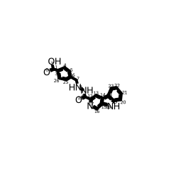 O=C(O)c1ccc(CNNC(=O)c2cc3c(cn2)[nH]c2ccccc23)cc1